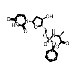 C[C@H](NP(=O)(OC[C@@H]1O[C@H](n2ccc(=O)[nH]c2=O)C[C@H]1O)Oc1ccccc1)C(=O)O